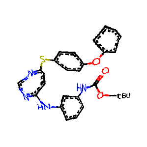 CC(C)(C)OC(=O)Nc1cccc(Nc2cc(Sc3ccc(Oc4ccccc4)cc3)ncn2)c1